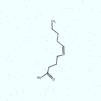 CCCC/C=C\CCCC(=O)O